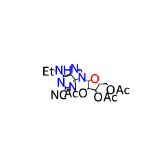 CCNc1nc(C#N)nc2c1ncn2[C@@H]1O[C@@H](COC(C)=O)[C@@H](OC(C)=O)[C@H]1OC(C)=O